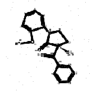 CCCOc1ccccc1N1CC[C@@](C)(C(=O)c2ccccc2)C1=O